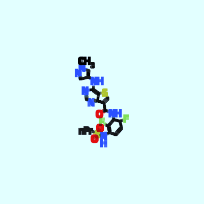 CCCS(=O)(=O)NC1=C(F)C(NC(=O)c2csc3c(Nc4cnn(C)c4)ncnc23)C(F)C=C1